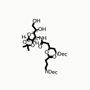 CCCCCCCCCCCCCC(=O)OC(CCCCCCCCCCC)CC(=O)N[C@H]1[C@H]2OC(C)(C)O[C@H]2O[C@@H]1[C@H](O)CO